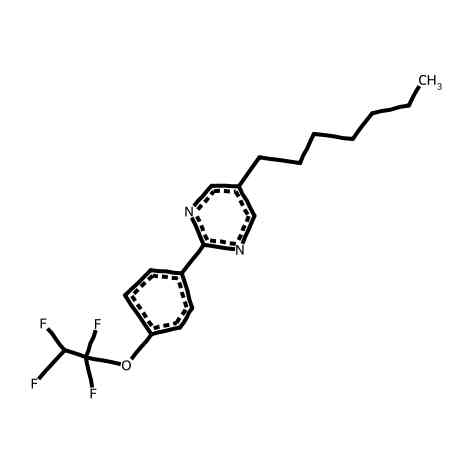 CCCCCCCc1cnc(-c2ccc(OC(F)(F)C(F)F)cc2)nc1